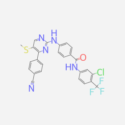 CSc1cnc(Nc2ccc(C(=O)Nc3ccc(C(F)(F)F)c(Cl)c3)cc2)nc1-c1ccc(C#N)cc1